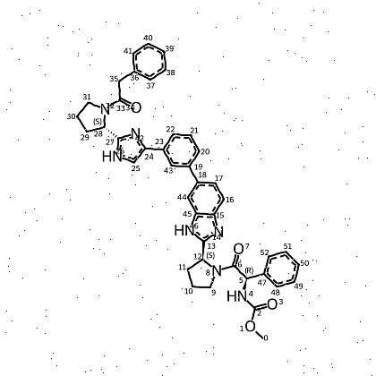 COC(=O)N[C@@H](C(=O)N1CCC[C@H]1c1nc2ccc(-c3cccc(-c4c[nH]c([C@@H]5CCCN5C(=O)Cc5ccccc5)n4)c3)cc2[nH]1)c1ccccc1